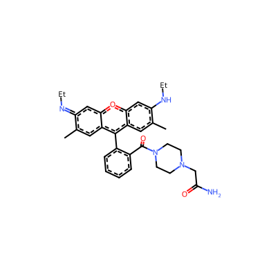 CC/N=c1\cc2oc3cc(NCC)c(C)cc3c(-c3ccccc3C(=O)N3CCN(CC(N)=O)CC3)c-2cc1C